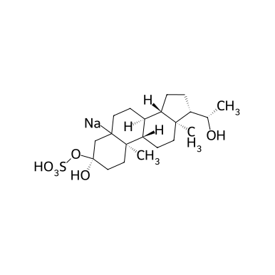 C[C@H](O)[C@H]1CC[C@H]2[C@@H]3CC[C]4([Na])C[C@](O)(OS(=O)(=O)O)CC[C@]4(C)[C@H]3CC[C@]12C